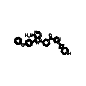 Nc1ncnc2c1c(-c1ccc(Oc3ccccc3)cc1)nn2[C@@H]1CCCN(C(=O)c2cnn(C3CC4(CCNCC4)C3)c2)C1